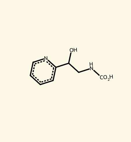 O=C(O)NCC(O)c1ccccn1